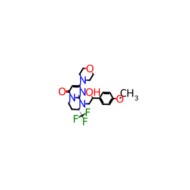 COc1ccc([C@H](O)CN2c3nc(N4CCOCC4)cc(=O)n3CC[C@H]2C(F)(F)F)cc1